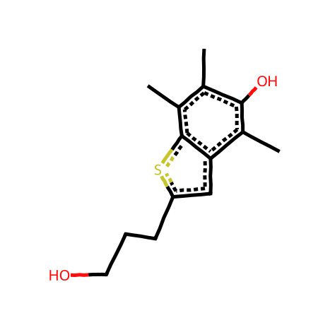 Cc1c(O)c(C)c2cc(CCCO)sc2c1C